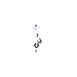 Cc1nc2cc(C34C[C@@H]3CN(CCCSc3nnc(C)n3C)C4)ccc2s1